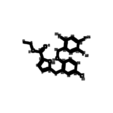 CCOC(=O)c1ccc(Cc2cc(Cl)ccc2OCc2cc(F)c(F)cc2F)o1